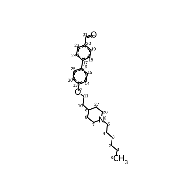 CCCCCCN1CCC(CCOc2ccc(-c3ccc([C]=O)cc3)cc2)CC1